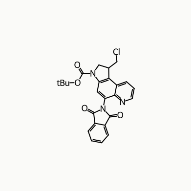 CC(C)(C)OC(=O)N1CC(CCl)c2c1cc(N1C(=O)c3ccccc3C1=O)c1ncccc21